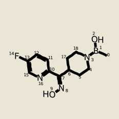 CB(O)N1CCC(/C(=N/O)c2ccc(F)cn2)CC1